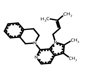 CC(C)=CCn1c(C)c(C)c2ccnc(N3CCc4ccccc4C3)c21